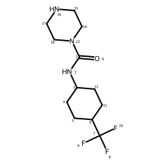 O=C(NC1CCC(C(F)(F)F)CC1)N1CCNCC1